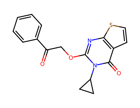 O=C(COc1nc2sccc2c(=O)n1C1CC1)c1ccccc1